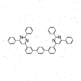 c1ccc(-c2cc(-c3cccc(-c4ccc(-c5cccc(-c6cc(-c7ccccc7)nc(-c7ccccc7)n6)c5)cc4)c3)nc(-c3ccccc3)n2)cc1